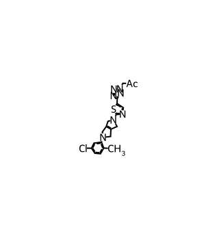 CC(=O)Cn1nnc(-c2cnc(N3CC4=C(C3)CN(c3cc(Cl)ccc3C)C4)s2)n1